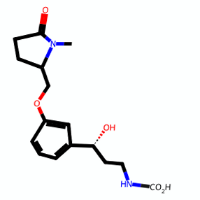 CN1C(=O)CCC1COc1cccc([C@H](O)CCNC(=O)O)c1